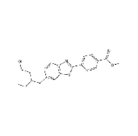 CCC(CCO)Cc1ccc2nc(-c3ccc(C(=O)OC)cc3)sc2c1